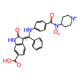 CON(C(=O)c1ccc(N/C(=C2\C(=O)Nc3cc(C(=O)O)ccc32)c2ccccc2)cc1)C1CCN(C)CC1